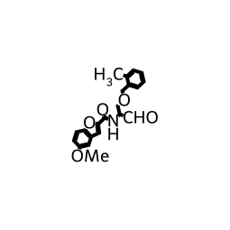 COc1ccc2oc(C(=O)NC(C=O)COCc3ccccc3C)cc2c1